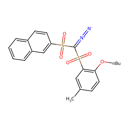 CCCCOc1ccc(C)cc1S(=O)(=O)C(=[N+]=[N-])S(=O)(=O)c1ccc2ccccc2c1